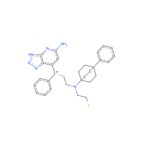 Nc1cc([C@H](CCN(CCF)C23CCC(c4ccccc4)(CC2)CC3)c2ccccc2)c2nn[nH]c2n1